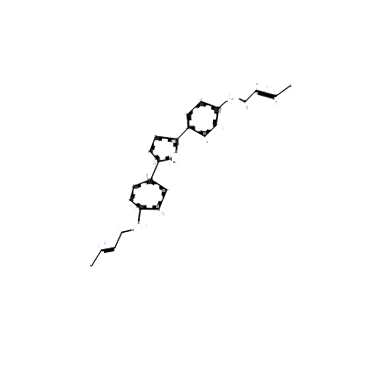 C/C=C/COc1ccc(-c2ccc(-c3ccc(OC/C=C/C)cc3)o2)cc1